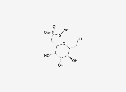 CC(=O)SS(=O)(=O)C[C@@H]1O[C@H](CO)[C@@H](O)[C@H](O)[C@@H]1O